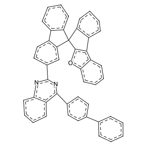 c1ccc(-c2ccc(-c3nc(-c4ccc5c(c4)C4(c6ccccc6-5)c5ccccc5-c5c4oc4ccccc54)nc4ccccc34)cc2)cc1